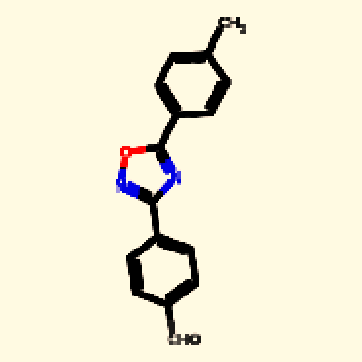 Cc1ccc(-c2nc(-c3ccc(C=O)cc3)no2)cc1